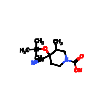 CC1CN(C(=O)O)CCC1(C#N)O[Si](C)(C)C